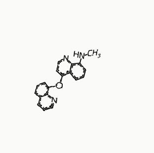 CNc1cccc2c(Oc3cccc4cccnc34)ccnc12